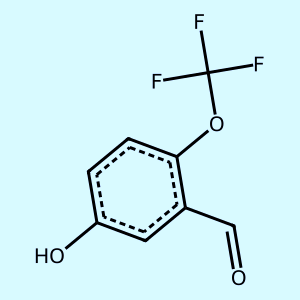 O=Cc1cc(O)ccc1OC(F)(F)F